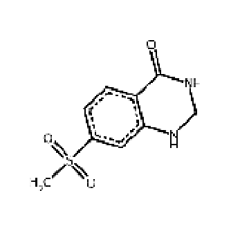 CS(=O)(=O)c1ccc2c(c1)NCNC2=O